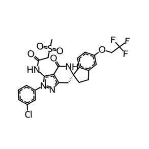 CS(=O)(=O)CC(=O)Nc1c2c(nn1-c1cccc(Cl)c1)C[C@]1(CCc3cc(OCC(F)(F)F)ccc31)NC2=O